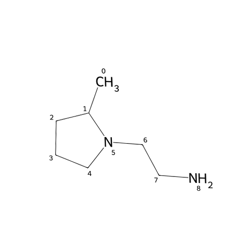 CC1CCCN1CCN